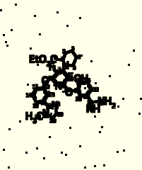 CCOC(=O)C1CCCCN1c1c(F)c(Oc2cccc(C3=NCCN3C)c2)nc(Oc2cc(C(=N)N)ccc2O)c1F